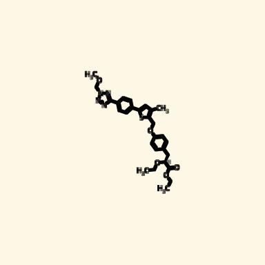 CCOC(=O)[C@H](Cc1ccc(OCc2sc(-c3ccc(-c4nnn(COC)n4)cc3)cc2C)cc1)OCC